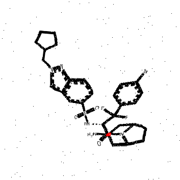 NC1CC2CCC(C1)N2C(=O)[C@H](NS(=O)(=O)c1ccc2nn(CC3CCCC3)cc2c1)C(F)(F)c1ccc(Br)cc1